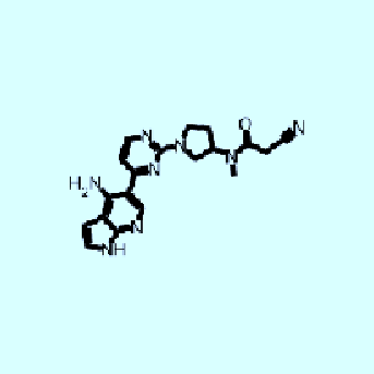 CN(C(=O)CC#N)C1CCN(c2nccc(-c3cnc4[nH]ccc4c3N)n2)C1